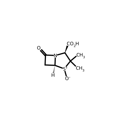 CC1(C)[C@H](C(=O)O)N2C(=O)C[C@@H]2[S+]1[O-]